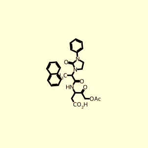 CC(=O)OCC(=O)C(CC(=O)O)NC(=O)C(C)N1CCN(c2ccccc2)C1=O.c1ccc2ccccc2c1